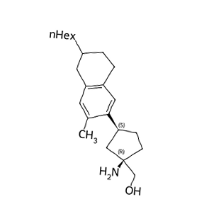 CCCCCCC1CCc2cc([C@H]3CC[C@](N)(CO)C3)c(C)cc2C1